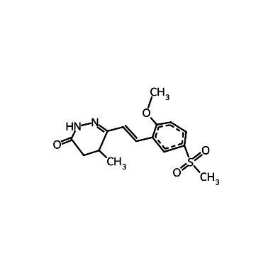 COc1ccc(S(C)(=O)=O)cc1C=CC1=NNC(=O)CC1C